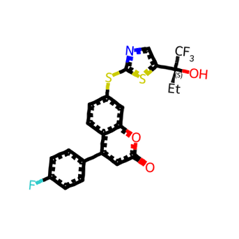 CC[C@@](O)(c1cnc(Sc2ccc3c(-c4ccc(F)cc4)cc(=O)oc3c2)s1)C(F)(F)F